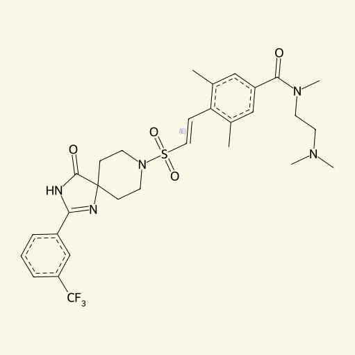 Cc1cc(C(=O)N(C)CCN(C)C)cc(C)c1/C=C/S(=O)(=O)N1CCC2(CC1)N=C(c1cccc(C(F)(F)F)c1)NC2=O